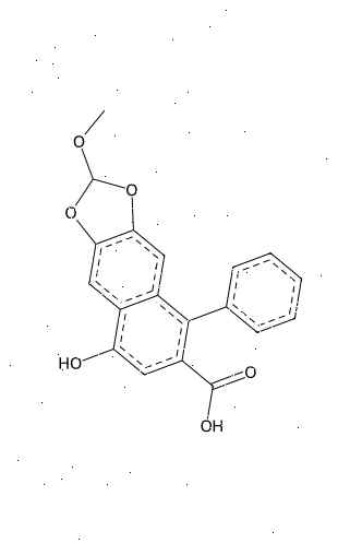 COC1Oc2cc3c(O)cc(C(=O)O)c(-c4ccccc4)c3cc2O1